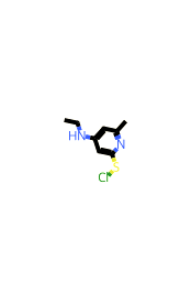 CCNc1cc(C)nc(SCl)c1